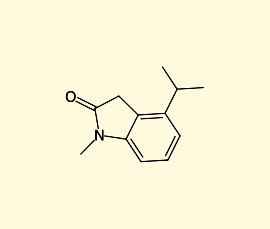 CC(C)c1cccc2c1CC(=O)N2C